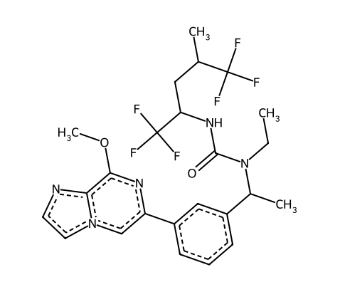 CCN(C(=O)NC(CC(C)C(F)(F)F)C(F)(F)F)C(C)c1cccc(-c2cn3ccnc3c(OC)n2)c1